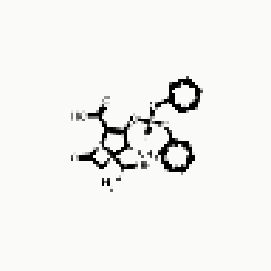 C[C@@H](O)[C@]12CC(=O)N1C(C(=O)O)=C(OP(=O)(Oc1ccccc1)Oc1ccccc1)[C@@H]2C